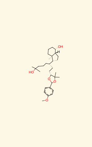 COc1ccc(C2O[C@H](CC[C@H](CCCC(C)(C)O)[C@H]3CC[C@H]4[C@@H](O)CCC[C@]34C)C(C)(C)O2)cc1